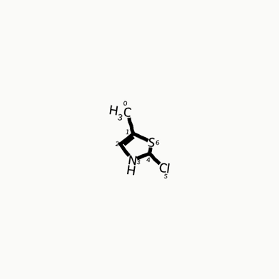 CC1=CNC(Cl)S1